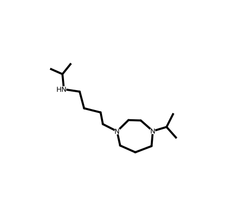 CC(C)NCCCCN1CCCN(C(C)C)CC1